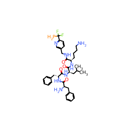 CC(C)C[C@@H](NC(=O)[C@@H](Cc1ccccc1)NC(=O)[C@H](N)Cc1ccccc1)C(=O)N[C@H](CCCCN)C(=O)NCc1ccc(C(F)(F)P)nc1